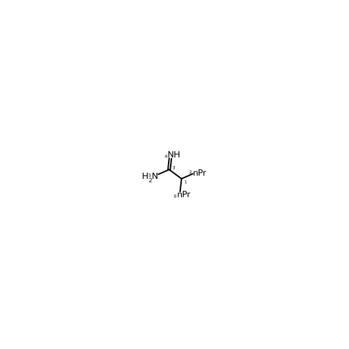 CCCC(CCC)C(=N)N